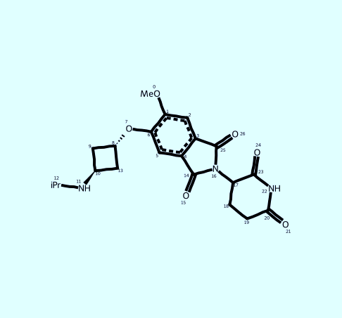 COc1cc2c(cc1O[C@H]1C[C@H](NC(C)C)C1)C(=O)N(C1CCC(=O)NC1=O)C2=O